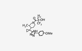 COc1ccc(-c2nnc(C3(C4CCN(C(=O)C(C)(O)C(F)(F)F)CC4C)CC3)[nH]2)cc1